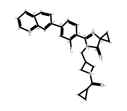 O=C(C1CC1)N1CC(CN2C(=O)C3(CC3)N=C2c2ccc(-c3ccc4cccnc4c3)cc2F)C1